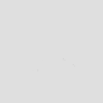 Cc1ccc2ncn(CC=C3c4ccccc4COc4ccc(OC(=O)O)cc43)c2c1